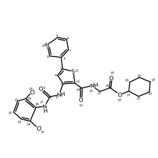 O=C(Nc1cc(-c2cccnc2)sc1C(=O)NCC(=O)OC1CCCCC1)Nc1c(Cl)cccc1Cl